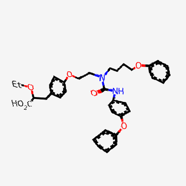 CCOC(Cc1ccc(OCCN(CCCCOc2ccccc2)C(=O)Nc2ccc(Oc3ccccc3)cc2)cc1)C(=O)O